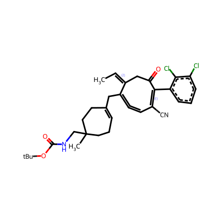 C/C=C1/CC(=O)/C(c2cccc(Cl)c2Cl)=C(/C#N)C=C=C1CC1=CCCC(C)(CNC(=O)OC(C)(C)C)CC1